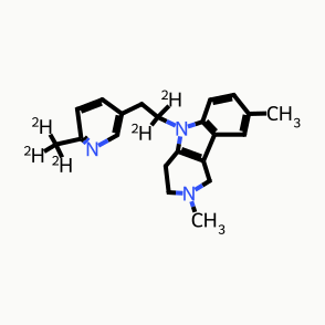 [2H]C([2H])([2H])c1ccc(CC([2H])([2H])n2c3c(c4cc(C)ccc42)CN(C)CC3)cn1